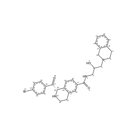 O=C(NCC(O)CN1CCc2ccccc2C1)c1ccc2c(c1)CCN[C@@H]2C(=O)c1ccc(Br)cc1